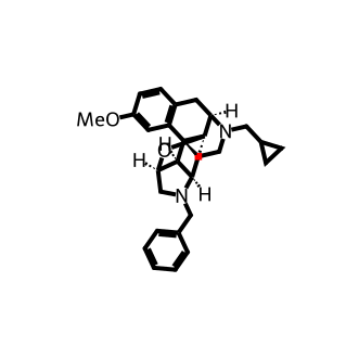 COc1ccc2c(c1)[C@]13CCN(CC4CC4)[C@H](C2)[C@]12CC[C@@H]1[C@H]3[C@@H](CN1Cc1ccccc1)O2